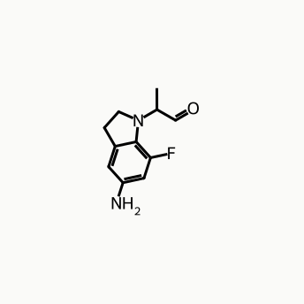 CC(C=O)N1CCc2cc(N)cc(F)c21